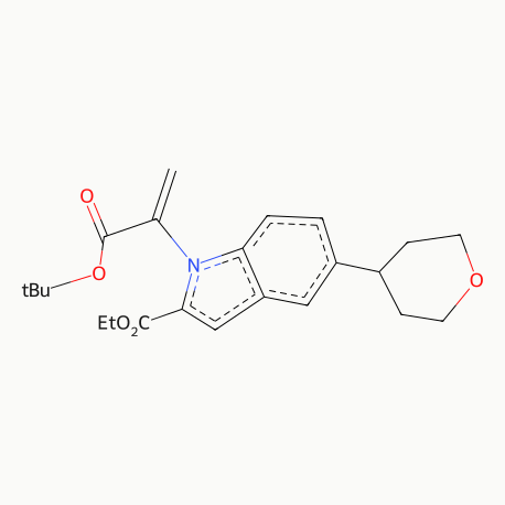 C=C(C(=O)OC(C)(C)C)n1c(C(=O)OCC)cc2cc(C3CCOCC3)ccc21